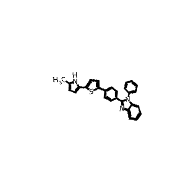 Cc1ccc(-c2ccc(-c3ccc(-c4nc5ccccc5n4-c4ccccc4)cc3)s2)[nH]1